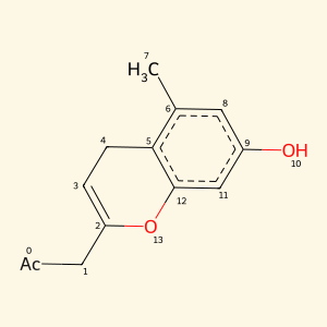 CC(=O)CC1=CCc2c(C)cc(O)cc2O1